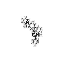 O=C(NC1CCCN(c2ccc(-n3ccccc3=O)cc2)C1=O)c1ccccn1